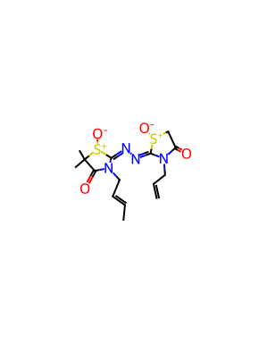 C=CCN1C(=O)C[S+]([O-])C1=NN=C1N(CC=CC)C(=O)C(C)(C)[S+]1[O-]